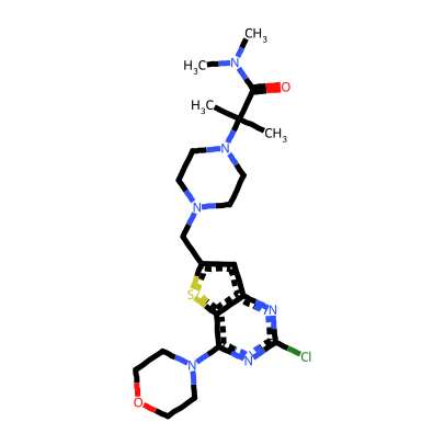 CN(C)C(=O)C(C)(C)N1CCN(Cc2cc3nc(Cl)nc(N4CCOCC4)c3s2)CC1